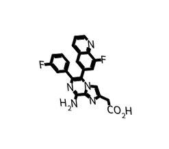 Nc1nc(-c2cccc(F)c2)c(-c2cc(F)c3ncccc3c2)n2cc(CC(=O)O)nc12